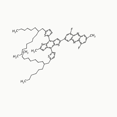 CCCCCCCCC(CCCCCC)Cc1ccc(-c2c3cc(-c4cc(F)c5nc6cc(C)cc(F)c6nc5c4)sc3c(-c3ccc(CC(CCCCCC)CCCCCCCC)s3)c3cc(C)sc23)s1